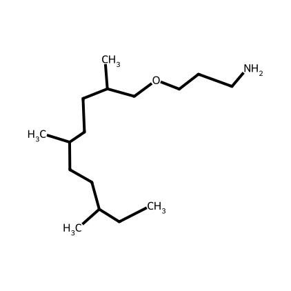 CCC(C)CCC(C)CCC(C)COCCCN